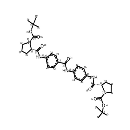 CC(C)(C)OC(=O)N1CCC[C@H]1C(=O)Nc1ccc(NC(=O)c2ccc(NC(=O)[C@@H]3CCCN3C(=O)OC(C)(C)C)cc2)cc1